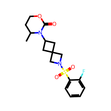 CC1CCOC(=O)N1C1CC2(C1)CN(S(=O)(=O)c1ccccc1F)C2